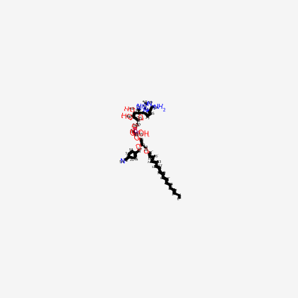 CCCCCCCCCCCCCCCCCCOC[C@H](COP(=O)(O)OC[C@H]1O[C@@](C#N)(c2ccc3c(N)ncnn23)[C@H](O)[C@@H]1O)OCc1ccc(C#N)cc1